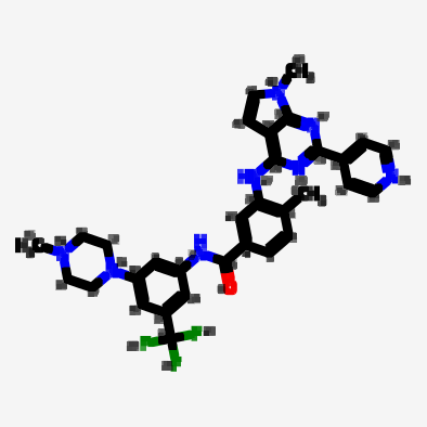 Cc1ccc(C(=O)Nc2cc(N3CCN(C)CC3)cc(C(F)(F)F)c2)cc1Nc1nc(-c2ccncc2)nc2c1ccn2C